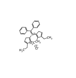 CCC1=CC[C]([Ti+2]([C]2=C(C)C(CC)=CC2)=[C](c2ccccc2)c2ccccc2)=C1C.[Cl-].[Cl-]